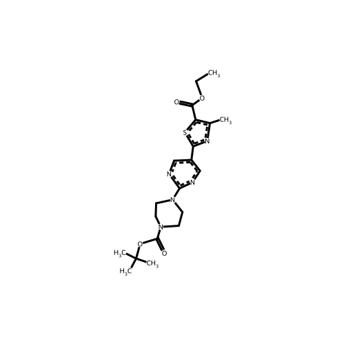 CCOC(=O)c1sc(-c2cnc(N3CCN(C(=O)OC(C)(C)C)CC3)nc2)nc1C